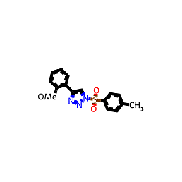 COc1ccccc1-c1cn(S(=O)(=O)c2ccc(C)cc2)nn1